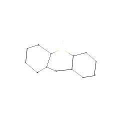 C1CCC2SC3CCCCC3CC2C1